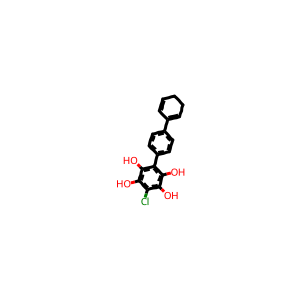 Oc1c(O)c(-c2ccc(C3=CCCC=C3)cc2)c(O)c(O)c1Cl